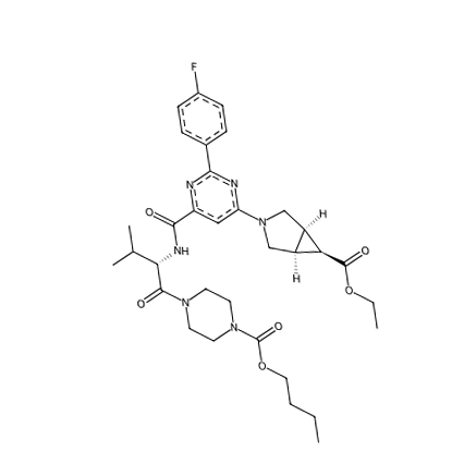 CCCCOC(=O)N1CCN(C(=O)[C@@H](NC(=O)c2cc(N3C[C@@H]4[C@H](C3)[C@@H]4C(=O)OCC)nc(-c3ccc(F)cc3)n2)C(C)C)CC1